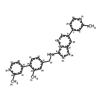 Cc1cc(-c2cnn3c(NCc4ccc(-c5ccnc(C)c5)c(C)c4)nnc3c2)ccn1